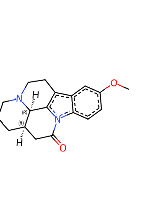 COc1ccc2c(c1)c1c3n2C(=O)C[C@H]2CCCN(CC1)[C@@H]32